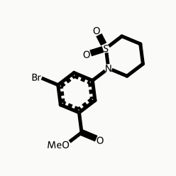 COC(=O)c1cc(Br)cc(N2CCCCS2(=O)=O)c1